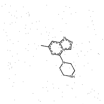 Cc1cc2nncn2c(N2CCNCC2)n1